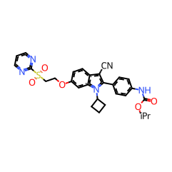 CC(C)OC(=O)Nc1ccc(-c2c(C#N)c3ccc(OCCS(=O)(=O)c4ncccn4)cc3n2C2CCC2)cc1